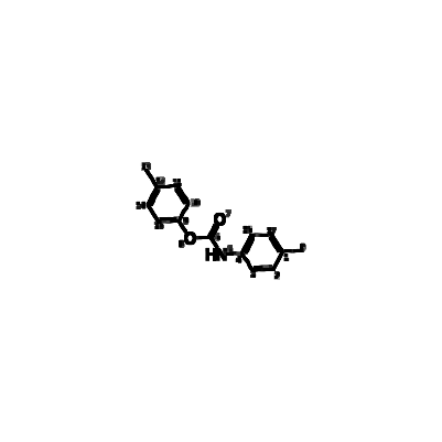 Cc1ccc(NC(=O)Oc2ccc(C)cc2)cc1